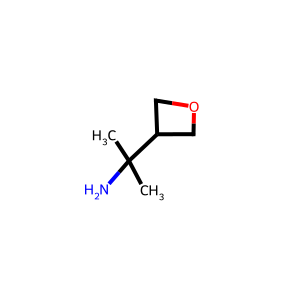 CC(C)(N)C1COC1